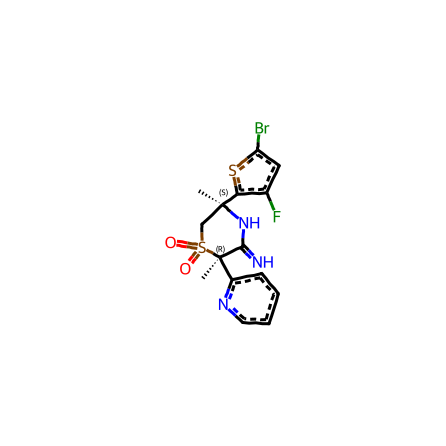 C[C@@]1(c2ccccn2)C(=N)N[C@](C)(c2sc(Br)cc2F)CS1(=O)=O